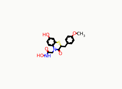 COc1ccc(CC2Sc3cc(O)ccc3N(CC(=O)NO)C2=O)cc1